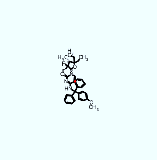 CCC1(CC)O[C@@H](n2ccc(NC(c3ccccc3)(c3ccccc3)c3ccc(OC)cc3)nc2=O)C(F)(F)[C@@H]1C